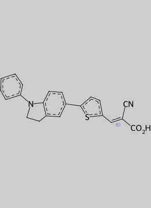 N#C/C(=C\c1ccc(-c2ccc3c(c2)CCN3c2ccccc2)s1)C(=O)O